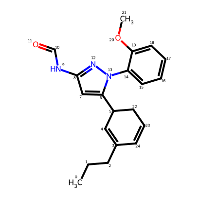 CCCC1=CC(c2cc(NC=O)nn2-c2ccccc2OC)CC=C1